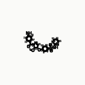 COC1C(Oc2ccc(S(=O)(=O)Nc3ncccn3)cc2)C=NN1C(=O)c1ccc(N)cc1